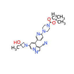 CC1(O)CN(c2cc(-c3ccc(N4CCN(C(=O)OC(C)(C)C)CC4)nc3)c3c(C#N)cnn3c2)C1